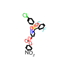 O=C(OCc1ccc(C(c2cc(F)ccc2F)S(=O)(=O)c2ccc(Cl)cc2)nc1)Oc1ccc([N+](=O)[O-])cc1